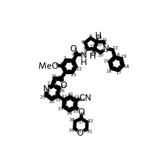 COc1cc(C(=O)N[C@@H]2CC[C@@H]3CN(Cc4ccccc4)C[C@@H]32)ccc1-c1cc2nccc(-c3ccc(OC4CCOCC4)c(C#N)c3)c2o1